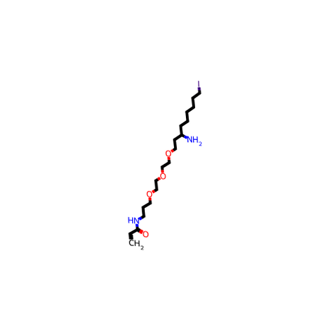 C=CC(=O)NCCCOCCOCCOCCC(N)CCCCCCI